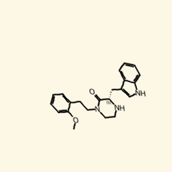 COc1ccccc1CCN1CCN[C@@H](Cc2c[nH]c3ccccc23)C1=O